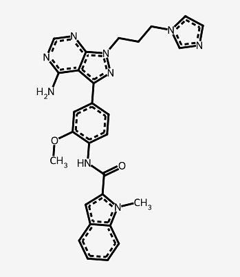 COc1cc(-c2nn(CCCn3ccnc3)c3ncnc(N)c23)ccc1NC(=O)c1cc2ccccc2n1C